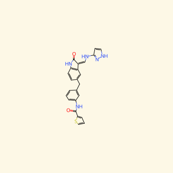 O=C1Nc2ccc(Cc3cccc(NC(=O)c4cccs4)c3)cc2/C1=C/Nc1cc[nH]n1